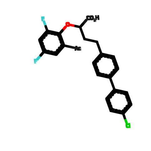 CC(=O)c1cc(F)cc(F)c1OC(CCc1ccc(-c2ccc(Cl)cc2)cc1)C(=O)O